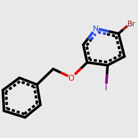 Brc1cc(I)c(OCc2ccccc2)cn1